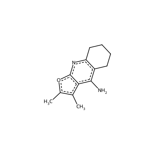 Cc1oc2nc3c(c(N)c2c1C)CCCC3